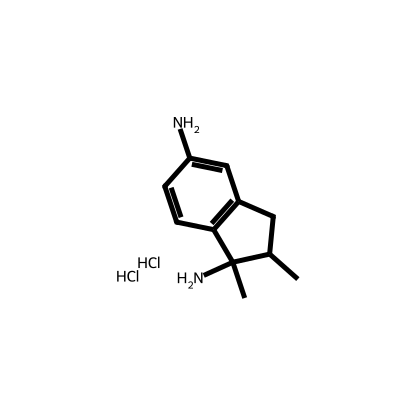 CC1Cc2cc(N)ccc2C1(C)N.Cl.Cl